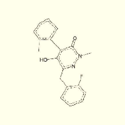 Cc1ccccc1-c1c(O)c(Cc2ccccc2F)nn(C)c1=O